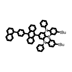 CC(C)(C)c1ccc2c(c1)B1c3cc(C(C)(C)C)ccc3N(c3ccccc3)c3cc(-c4c5ccccc5c(-c5ccc(-c6cccc7ccccc67)cc5)c5ccccc45)cc(c31)N2c1ccccc1